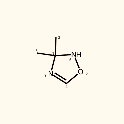 CC1(C)N=CON1